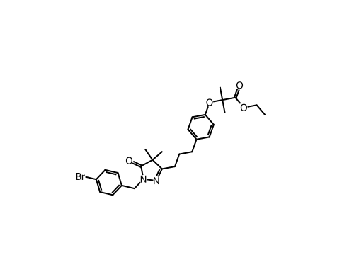 CCOC(=O)C(C)(C)Oc1ccc(CCCC2=NN(Cc3ccc(Br)cc3)C(=O)C2(C)C)cc1